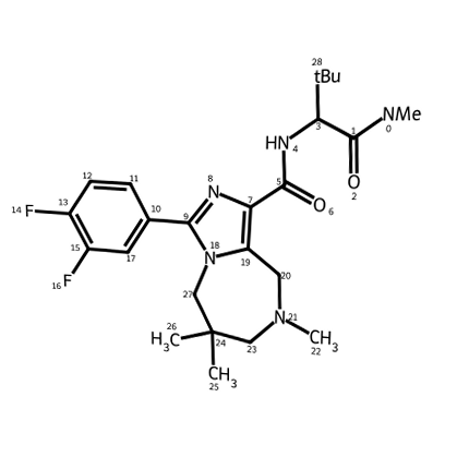 CNC(=O)C(NC(=O)c1nc(-c2ccc(F)c(F)c2)n2c1CN(C)CC(C)(C)C2)C(C)(C)C